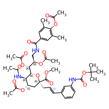 COC(=O)[C@@]1(C/C=C/c2cccc(NC(=O)OC(C)(C)C)c2)C[C@H](OC(C)=O)[C@@H](NC(C)=O)[C@H]([C@H](OC(C)=O)[C@@H](CNC(=O)c2cc(C)c(OC(C)=O)c(C)c2)OC(C)=O)O1